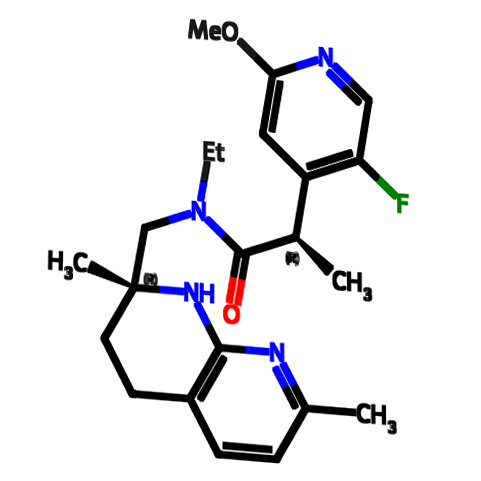 CCN(C[C@@]1(C)CCc2ccc(C)nc2N1)C(=O)[C@H](C)c1cc(OC)ncc1F